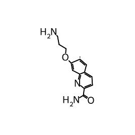 NCCCOc1[c]cc2ccc(C(N)=O)nc2c1